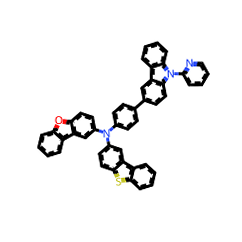 c1ccc(-n2c3ccccc3c3cc(-c4ccc(N(c5ccc6oc7ccccc7c6c5)c5ccc6sc7ccccc7c6c5)cc4)ccc32)nc1